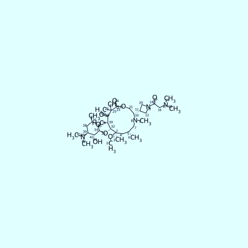 CO[C@]1(C)C[C@@H](C)CN(C)[C@@H](C2CN(C(=O)CN(C)C)C2)COC(=O)C(C)(C)C(=O)[C@H](C)[C@H]1O[C@@H]1O[C@H](C)C[C@H](N(C)C)[C@H]1O